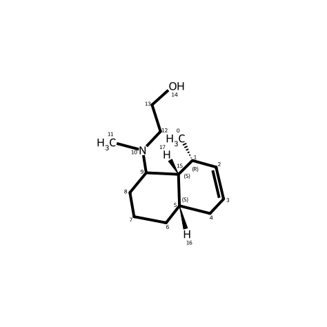 C[C@@H]1C=CC[C@@H]2CCCC(N(C)CCO)[C@@H]21